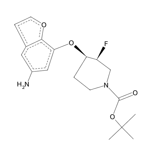 CC(C)(C)OC(=O)N1CC[C@@H](Oc2cc(N)cc3ccoc23)[C@@H](F)C1